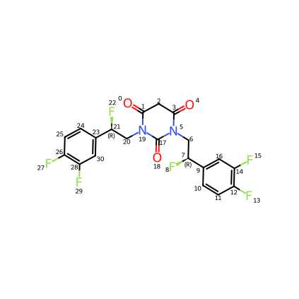 O=C1CC(=O)N(C[C@H](F)c2ccc(F)c(F)c2)C(=O)N1C[C@H](F)c1ccc(F)c(F)c1